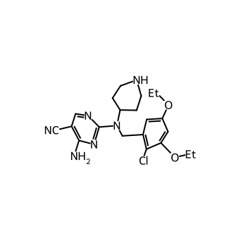 CCOc1cc(CN(c2ncc(C#N)c(N)n2)C2CCNCC2)c(Cl)c(OCC)c1